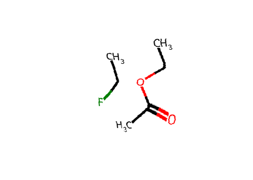 CCF.CCOC(C)=O